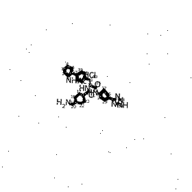 CC(=O)Nc1ccccc1-c1ccc(C[C@H](NC(=O)C2CCC(CN)CC2)C(=O)Nc2ccc(-c3nn[nH]n3)cc2)cc1.Cl